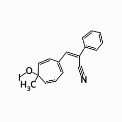 CC1(OI)C=CC=C(/C=C(\C#N)c2ccccc2)C=C1